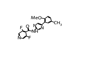 COc1ccc(C)cc1-c1cnc(NC(=O)c2c(F)cncc2F)cn1